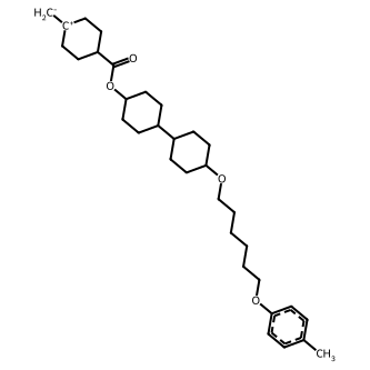 [CH2-][C+]1CCC(C(=O)OC2CCC(C3CCC(OCCCCCCOc4ccc(C)cc4)CC3)CC2)CC1